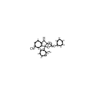 [C-]#[N+]c1ccc2c(c1)C(OC(=O)Oc1ccccc1)(c1cccnc1C)C(=O)N2